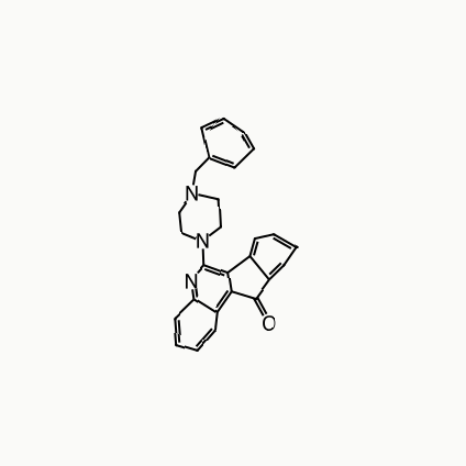 O=C1c2ccccc2-c2c(N3CCN(Cc4ccccc4)CC3)nc3ccccc3c21